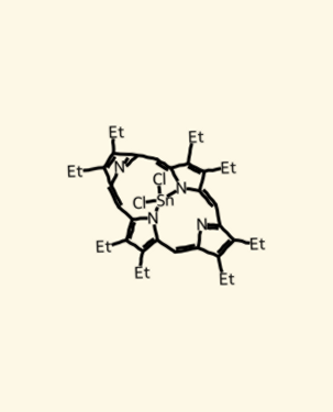 CCC1=C(CC)C2=NC1=Cc1c(CC)c(CC)c3[n]1[Sn]([Cl])([Cl])[n]1c(c(CC)c(CC)c1=CC1=NC(=C3)C(CC)=C1CC)=C2